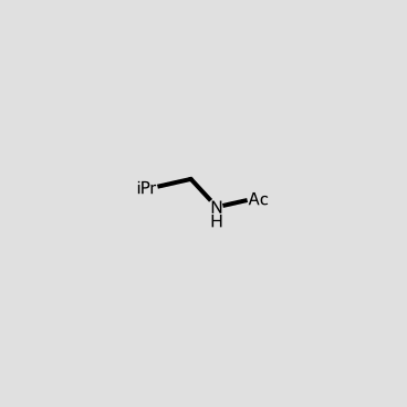 [CH2]C(=O)NCC(C)C